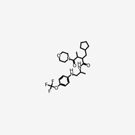 CC(CNc1ccc(OC(F)(F)F)cc1)NC(=O)C(CC1CCCC1)C(C)C(=O)N1CCOCC1